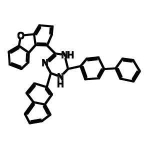 c1ccc(-c2ccc(C3NC(c4cccc5oc6ccccc6c45)=NC(c4ccc5ccccc5c4)N3)cc2)cc1